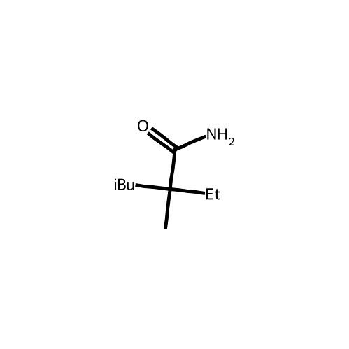 CCC(C)C(C)(CC)C(N)=O